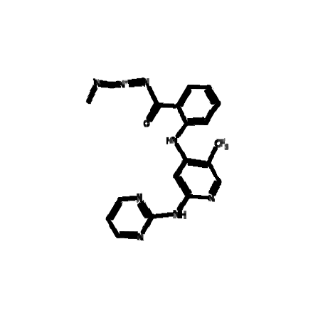 CN=[N+]=NC(=O)c1ccccc1Nc1cc(Nc2ncccn2)ncc1C(F)(F)F